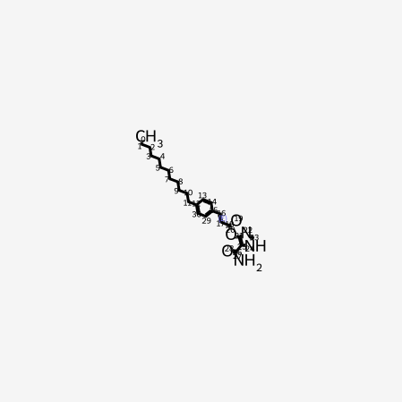 CCCCCCCCCCCCc1ccc(/C=C/C(=O)Oc2nc[nH]c2C(N)=O)cc1